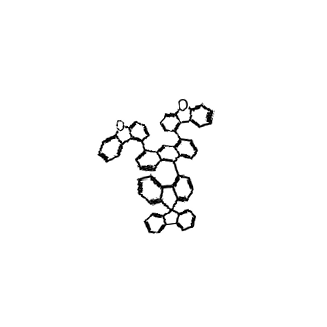 c1ccc2c(c1)-c1ccccc1C21c2ccccc2-c2c(-c3c4cccc(-c5cccc6oc7ccccc7c56)c4cc4c(-c5cccc6oc7ccccc7c56)cccc34)cccc21